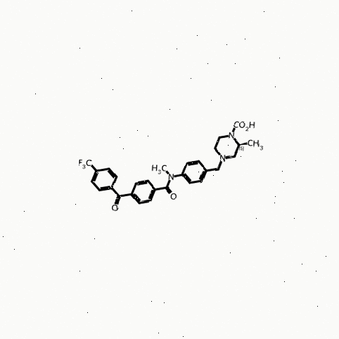 C[C@H]1CN(Cc2ccc(N(C)C(=O)c3ccc(C(=O)c4ccc(C(F)(F)F)cc4)cc3)cc2)CCN1C(=O)O